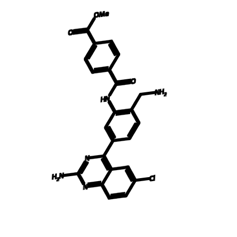 COC(=O)c1ccc(C(=O)Nc2cc(-c3nc(N)nc4ccc(Cl)cc34)ccc2CN)cc1